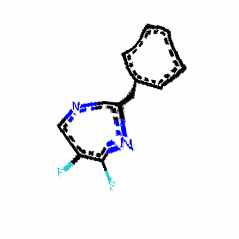 Fc1cnc(-c2ccccc2)nc1F